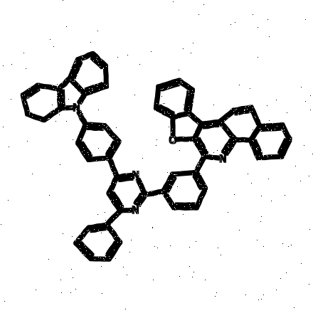 C1=Cc2c(n(-c3ccc(-c4cc(-c5ccccc5)nc(-c5cccc(-c6nc7c8ccccc8ccc7c7c6oc6ccccc67)c5)n4)cc3)c3ccccc23)CC1